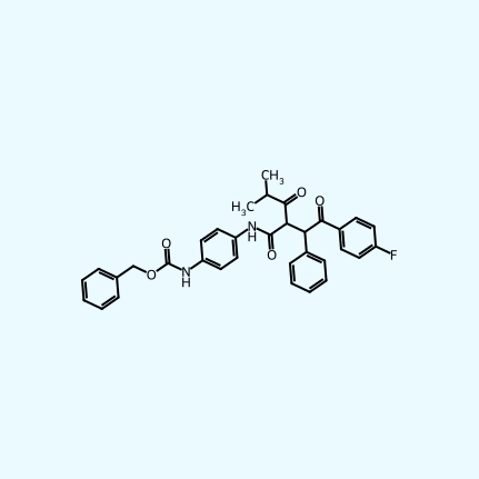 CC(C)C(=O)C(C(=O)Nc1ccc(NC(=O)OCc2ccccc2)cc1)C(C(=O)c1ccc(F)cc1)c1ccccc1